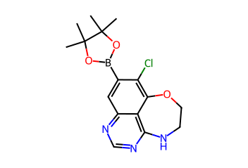 CC1(C)OB(c2cc3ncnc4c3c(c2Cl)OCCN4)OC1(C)C